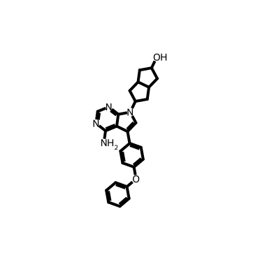 Nc1ncnc2c1c(-c1ccc(Oc3ccccc3)cc1)cn2C1CC2CC(O)CC2C1